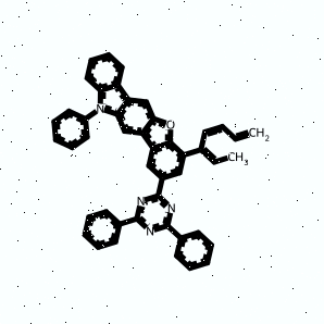 C=C/C=C\C(=C/C)c1cc(-c2nc(-c3ccccc3)nc(-c3ccccc3)n2)cc2c1oc1cc3c4ccccc4n(-c4ccccc4)c3cc12